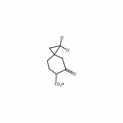 O=C(O)N1CCC2(CC1=O)CC2(Cl)Cl